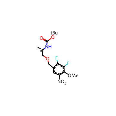 COc1c([N+](=O)[O-])cc(COC[C@@H](C)NC(=O)OC(C)(C)C)c(F)c1F